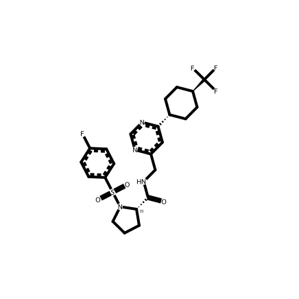 O=C(NCc1cc([C@H]2CC[C@H](C(F)(F)F)CC2)ncn1)[C@@H]1CCCN1S(=O)(=O)c1ccc(F)cc1